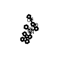 c1ccc(-c2nc(-c3cccc4c3-c3ccccc3C4(c3ccccc3)c3ccccc3)nc(-c3cccc4oc5cc(-c6nc7ccccc7o6)ccc5c34)n2)cc1